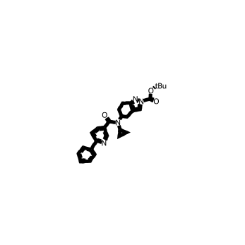 CC(C)(C)OC(=O)n1cc2c(n1)CCC(N(C(=O)c1ccc(-c3ccccc3)nc1)C1CC1)C2